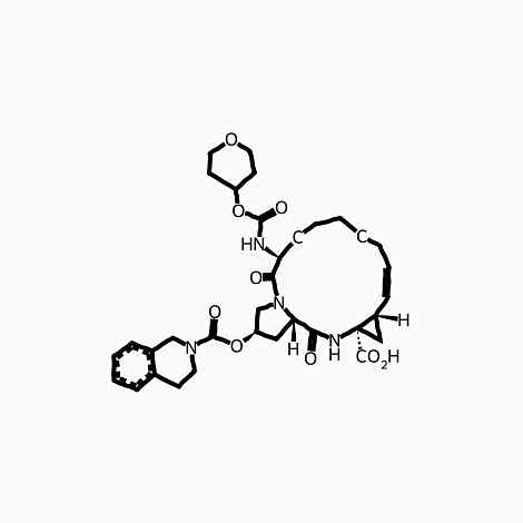 O=C(N[C@H]1CCCCC/C=C\[C@@H]2C[C@@]2(C(=O)O)NC(=O)[C@@H]2C[C@@H](OC(=O)N3CCc4ccccc4C3)CN2C1=O)OC1CCOCC1